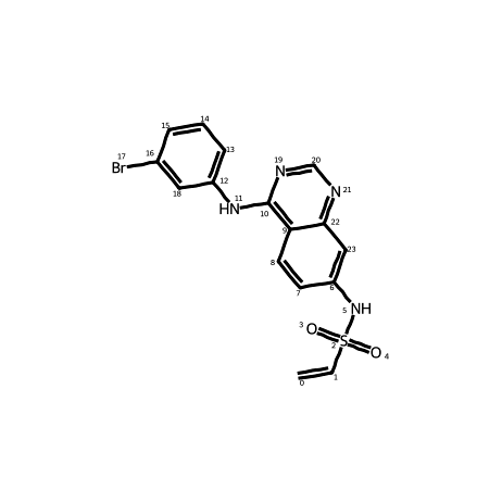 C=CS(=O)(=O)Nc1ccc2c(Nc3cccc(Br)c3)ncnc2c1